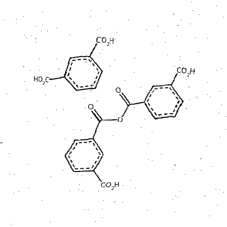 O=C(O)c1cccc(C(=O)O)c1.O=C(O)c1cccc(C(=O)OC(=O)c2cccc(C(=O)O)c2)c1